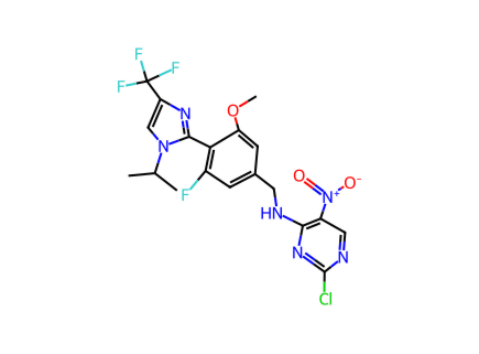 COc1cc(CNc2nc(Cl)ncc2[N+](=O)[O-])cc(F)c1-c1nc(C(F)(F)F)cn1C(C)C